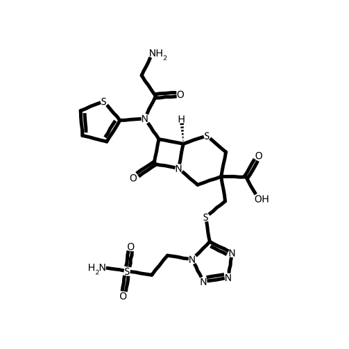 NCC(=O)N(c1cccs1)C1C(=O)N2CC(CSc3nnnn3CCS(N)(=O)=O)(C(=O)O)CS[C@H]12